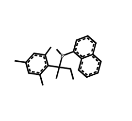 CCC(C)(B(C)c1cccc2ccccc12)c1c(C)cc(C)cc1C